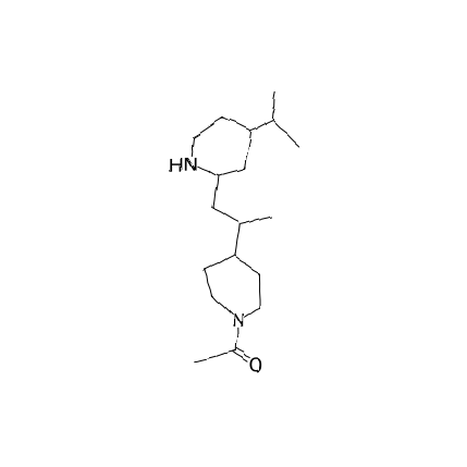 CC(=O)N1CCC(C(C)CC2CC(C(C)C)CCN2)CC1